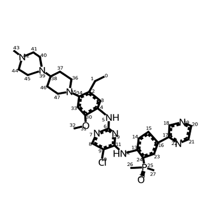 CCc1cc(Nc2ncc(Cl)c(Nc3ccc(-c4cnccn4)cc3P(C)(C)=O)n2)c(OC)cc1N1CCC(N2CCN(C)CC2)CC1